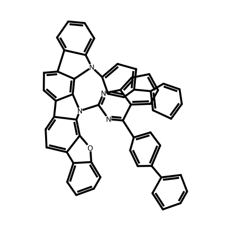 c1ccc(-c2ccc(-c3nc(-n4c5c(ccc6c7ccccc7oc65)c5ccc6c7ccccc7n(-c7ccc(-c8ccccc8)cc7)c6c54)nc4ccccc34)cc2)cc1